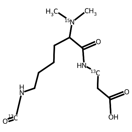 C[15N](C)C(CCCCN[13CH]=O)C(=O)N[13CH2]CC(=O)O